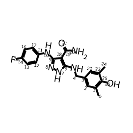 Cc1cc(CNc2[nH]nc(Nc3ccc(F)cc3)c2C(N)=O)cc(C)c1O